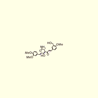 COc1ccc(/C=C/C(=O)/C(CC(N)=O)=C(O)/C=C/c2ccc(OC)c(OC)c2)cc1CO